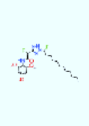 CCCCCCCCCCCC(F)n1nnc(C(F)C(=O)Nc2c(OC)cc(OC)cc2OC)n1